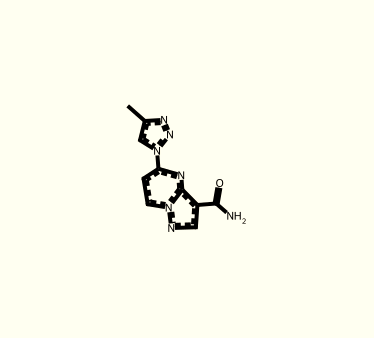 Cc1cn(-c2ccn3ncc(C(N)=O)c3n2)nn1